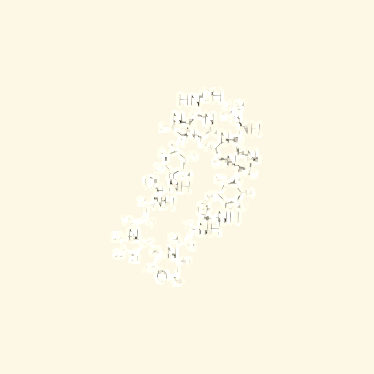 CNc1nccn2c(-c3ccc(NC(=O)NCCCN4CCCC4)cc3)cnc12.O=C(NCCCN1CCOCC1)Nc1ccc(-c2cnc3c(NC4CC4)nccn23)cc1